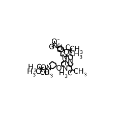 CC(C)c1cnn2c(N(Cc3cccc([N+](=O)[O-])c3)C(=O)OC(C)(C)C)cc(OC3CCCN(C(=O)OC(C)(C)C)C3)nc12